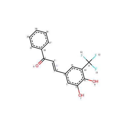 O=C(/C=C/c1cc(O)c(O)c(C(F)(F)F)c1)c1ccccc1